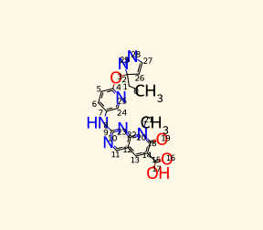 CCC1(Oc2ccc(Nc3ncc4cc(C(=O)O)c(=O)n(C)c4n3)cn2)C=CN=N1